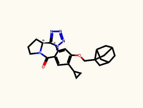 O=C(c1cc(C2CC2)c(OCC23CC4CC(CC2C4)C3)cc1F)N1CCC[C@H]1c1nnn[nH]1